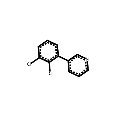 Clc1cccc(-c2cc[c]nc2)c1Cl